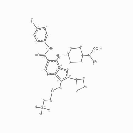 CC(C)(C)N(C(=O)O)[C@H]1CC[C@H](Nc2c(C(=O)Nc3ccc(F)cc3)cnc3c2cc(C2CCC2)n3COCC[Si](C)(C)C)CC1